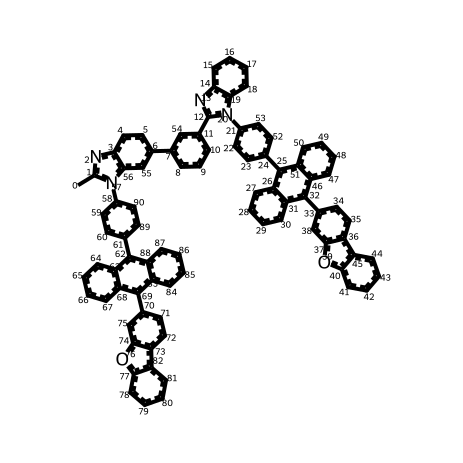 Cc1nc2ccc(-c3cccc(-c4nc5ccccc5n4-c4ccc(-c5c6ccccc6c(-c6ccc7c(c6)oc6ccccc67)c6ccccc56)cc4)c3)cc2n1-c1ccc(-c2c3ccccc3c(-c3ccc4c(c3)oc3ccccc34)c3ccccc23)cc1